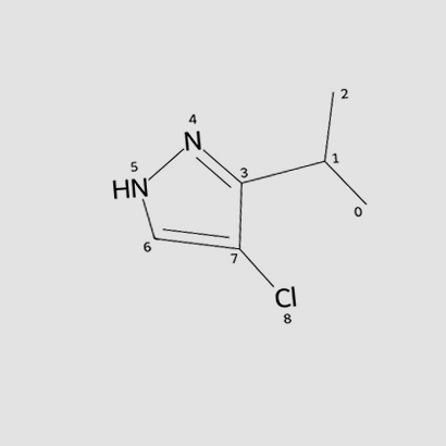 CC(C)c1n[nH]cc1Cl